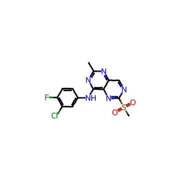 Cc1nc(Nc2ccc(F)c(Cl)c2)c2nc(S(C)(=O)=O)ncc2n1